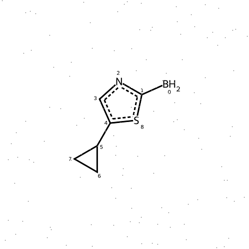 Bc1ncc(C2CC2)s1